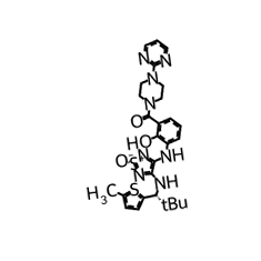 Cc1ccc([C@H](Nc2n[s+]([O-])nc2Nc2cccc(C(=O)N3CCN(c4ncccn4)CC3)c2O)C(C)(C)C)s1